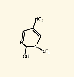 O=[N+]([O-])C1=CN(C(F)(F)F)C(O)N=C1